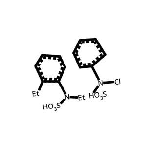 CCc1ccccc1N(CC)S(=O)(=O)O.O=S(=O)(O)N(Cl)c1ccccc1